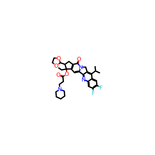 CCC1(OC(=O)CCN2CCCCC2)c2cc3n(c(=O)c2CC1C1OCCO1)Cc1c-3nc2cc(F)c(F)cc2c1C(C)C